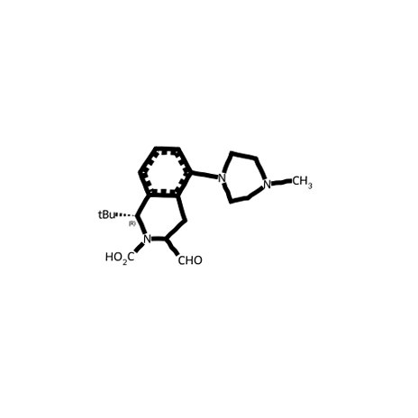 CN1CCN(c2cccc3c2CC(C=O)N(C(=O)O)[C@@H]3C(C)(C)C)CC1